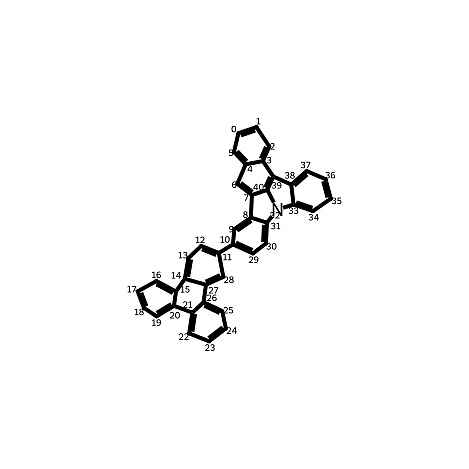 c1ccc2c(c1)cc1c3cc(-c4ccc5c6ccccc6c6ccccc6c5c4)ccc3n3c4ccccc4c2c13